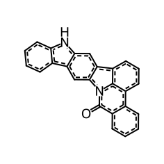 O=c1c2ccccc2c2cccc3c4cc5[nH]c6ccccc6c5cc4n1c23